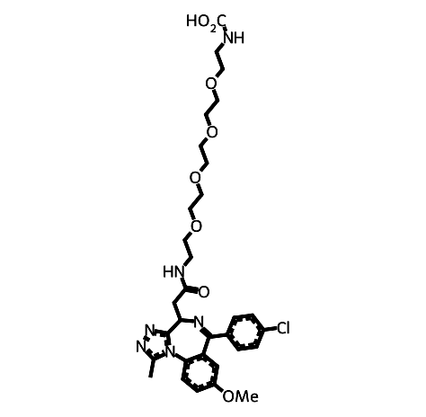 COc1ccc2c(c1)C(c1ccc(Cl)cc1)=NC(CC(=O)NCCOCCOCCOCCOCCNC(=O)O)c1nnc(C)n1-2